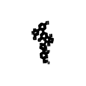 Nc1ccc(-c2cnc([C@@H]3[C@H]4CC[C@H]4c4cc(-c5cc(Cl)ccc5-n5cc(Cl)nn5)cc(=O)n43)[nH]2)c(F)n1